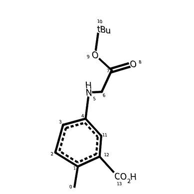 Cc1ccc(NCC(=O)OC(C)(C)C)cc1C(=O)O